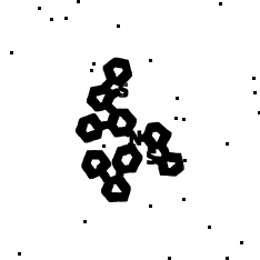 c1ccc(-c2ccccc2-c2ccc(N(c3ccc(-c4cccc5c4sc4ccccc45)c(-c4ccccc4)c3)c3cccc4c3sc3ccccc34)cc2)cc1